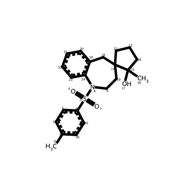 Cc1ccc(S(=O)(=O)N2CCC3(CCCC3(C)O)Cc3ccccc32)cc1